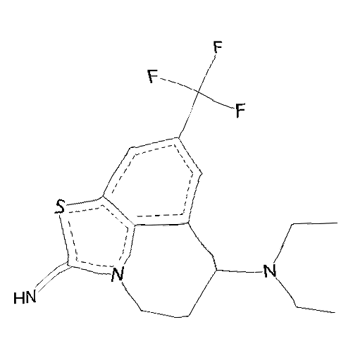 CCN(CC)C1CCn2c(=N)sc3cc(C(F)(F)F)cc1c32